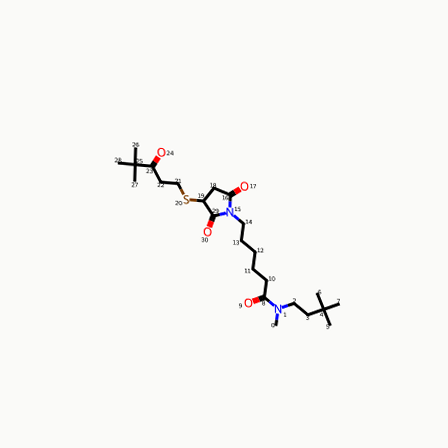 CN(CCC(C)(C)C)C(=O)CCCCCN1C(=O)CC(SCCC(=O)C(C)(C)C)C1=O